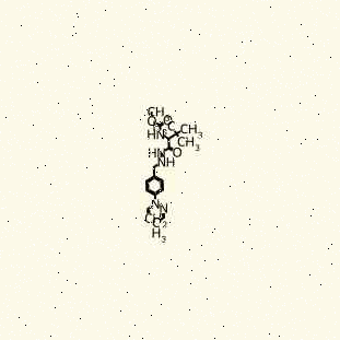 C=CN(/N=C\C)c1ccc(CNNC(=O)C(NC(=O)OC)C(C)(C)C)cc1